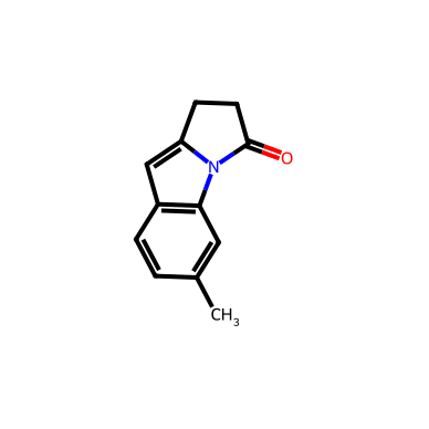 Cc1ccc2cc3n(c2c1)C(=O)CC3